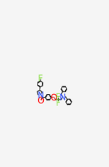 O=C(c1ccc(OCC(F)(F)CN(Cc2ccccc2)Cc2ccccc2)cc1)N1CCC(c2ccc(F)cc2)C1